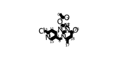 CC(=O)Oc1nc2n(Cc3ccc(Cl)nc3)c(C)cc(=O)n2n1